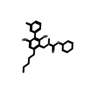 CCCCCc1cc(O)c(-c2cccc(C)c2)c(O)c1CN(C)C(=O)OC1CCCCC1